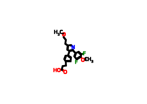 COCCCc1cnc(-c2cc(F)c(OC)c(F)c2)c(-c2ccc(CCC(=O)O)cc2)c1